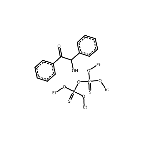 CCOP(=S)(OCC)OP(=S)(OCC)OCC.O=C(c1ccccc1)C(O)c1ccccc1